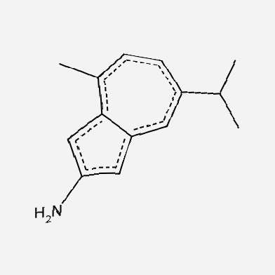 Cc1ccc(C(C)C)cc2cc(N)cc1-2